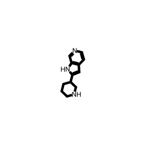 c1cc2cc(C3CCCNC3)[nH]c2cn1